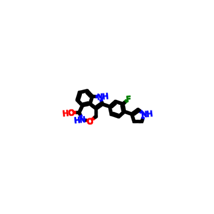 OC1NOCc2c(-c3ccc(C4=CNCC4)c(F)c3)[nH]c3cccc1c23